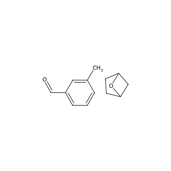 C1CC2CC1O2.Cc1cccc(C=O)c1